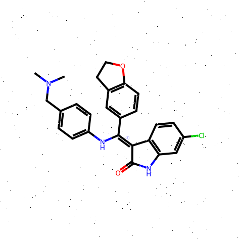 CN(C)Cc1ccc(N/C(=C2\C(=O)Nc3cc(Cl)ccc32)c2ccc3c(c2)CCO3)cc1